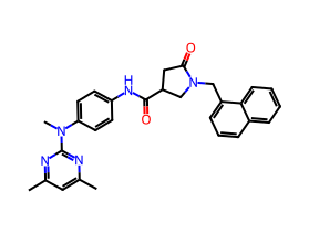 Cc1cc(C)nc(N(C)c2ccc(NC(=O)C3CC(=O)N(Cc4cccc5ccccc45)C3)cc2)n1